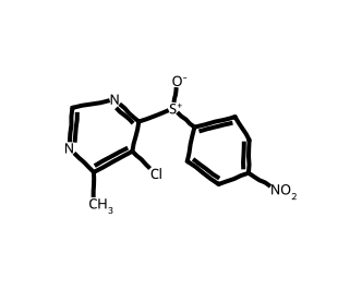 Cc1ncnc([S+]([O-])c2ccc([N+](=O)[O-])cc2)c1Cl